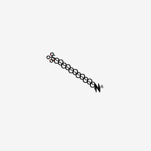 [N-]=[N+]=NCCOCCOCCOCCOCCOCCOCCOCCOCCOCCOCCOCCSC(c1ccccc1)(c1ccccc1)c1ccccc1